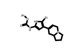 CCc1[nH]c(NC(=O)OC(C)C)cc1C1=CCN2CCCC2C1